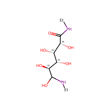 CCPC(=O)[C@H](O)[C@@H](O)[C@H](O)[C@H](O)C(O)PCC